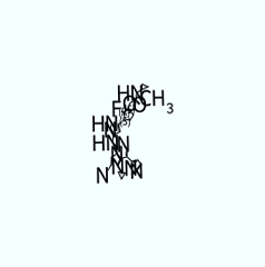 CC1(NC(=O)O[C@H]2CC[C@@H](c3cc(Nc4ncc(-c5ccnn5C5CC5)c5nc(C#N)cn45)n[nH]3)[C@H]2F)CC1